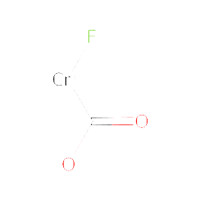 O=[C]([O-])[Cr+][F]